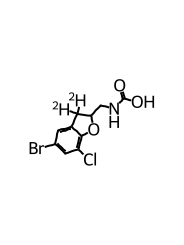 [2H]C1([2H])c2cc(Br)cc(Cl)c2OC1CNC(=O)O